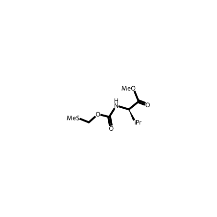 COC(=O)[C@H](NC(=O)OCSC)C(C)C